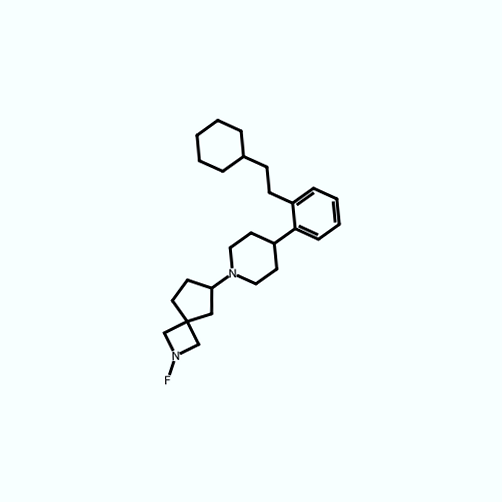 FN1CC2(CCC(N3CCC(c4ccccc4CCC4CCCCC4)CC3)C2)C1